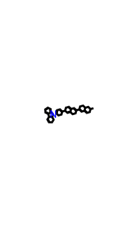 CC1CC=C2C=C(C3=CC4=CCC(C5=CC=C(N6c7ccccc7C7C=CCCC76)CC5)C=C4CC3)CCC2C1